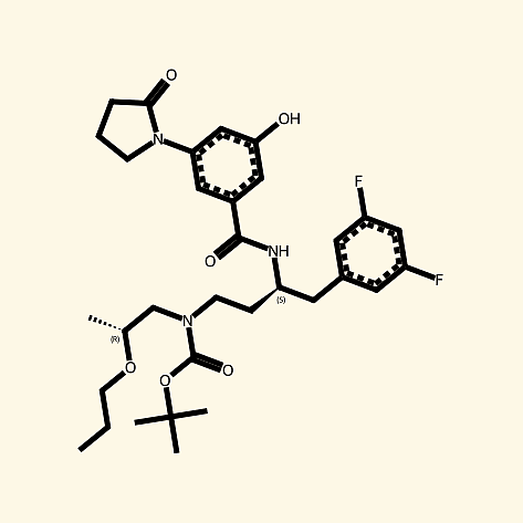 CCCO[C@H](C)CN(CC[C@H](Cc1cc(F)cc(F)c1)NC(=O)c1cc(O)cc(N2CCCC2=O)c1)C(=O)OC(C)(C)C